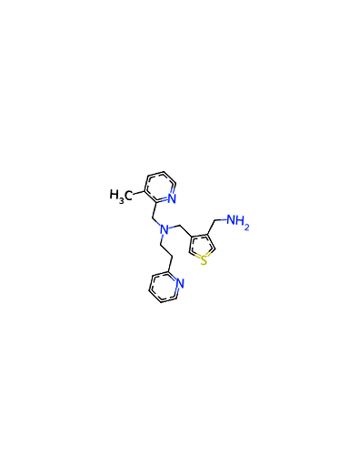 Cc1cccnc1CN(CCc1ccccn1)Cc1cscc1CN